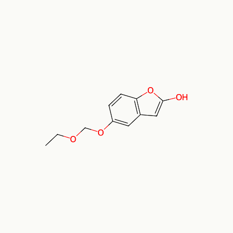 CCOCOc1ccc2oc(O)cc2c1